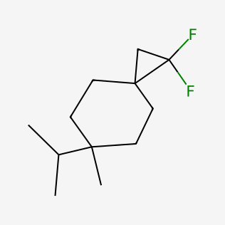 CC(C)C1(C)CCC2(CC1)CC2(F)F